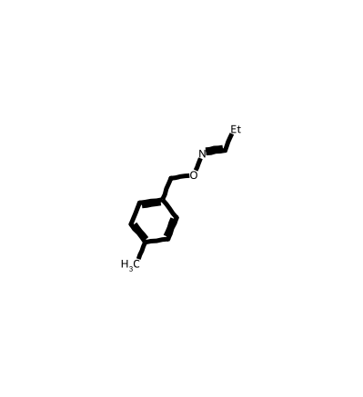 CCC=NOCc1ccc(C)cc1